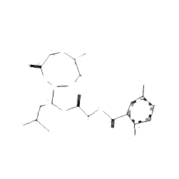 CC(C)C[C@H](NC(=O)CNC(=O)c1cc(Cl)ccc1Cl)B1OC[C@H](C)S[C@@H](C)C(=O)O1